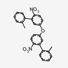 Cc1ccccc1-c1cc(Oc2ccc([N+](=O)[O-])c(-c3ccccc3C)c2)ccc1[N+](=O)[O-]